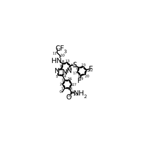 Cc1cc(-c2cnc3c(NCCC(F)(F)F)cc(Sc4cc(F)cc(F)c4)nn23)ccc1C(N)=O